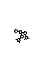 Cc1cc(C)cc(-c2cccc(-c3ccc(-c4ncccn4)cc3-c3cccc(-c4cc(C)cc(C)c4)c3)c2)c1